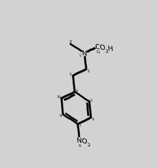 CN(CCc1ccc([N+](=O)[O-])cc1)C(=O)O